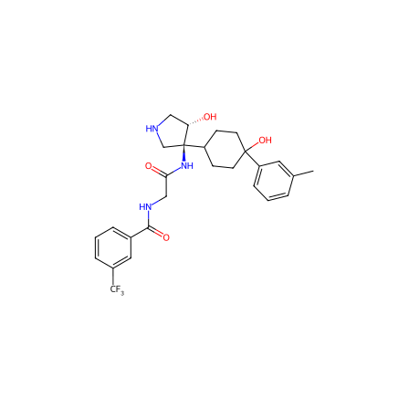 Cc1cccc(C2(O)CCC([C@]3(NC(=O)CNC(=O)c4cccc(C(F)(F)F)c4)CNC[C@@H]3O)CC2)c1